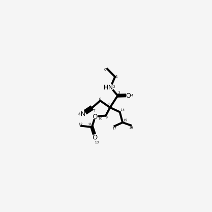 CCNC(=O)C(CC#N)(COC(C)=O)CC(C)C